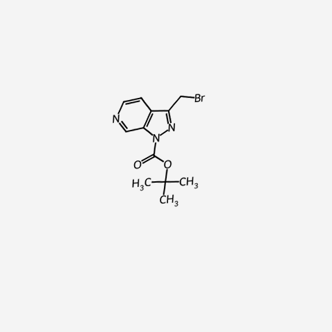 CC(C)(C)OC(=O)n1nc(CBr)c2ccncc21